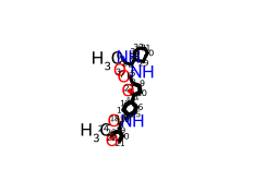 CNC(=O)[C@@H](NC(=O)c1ccc(-c2ccc(NC(=O)c3ccoc3C)cc2)o1)C1CCCCC1